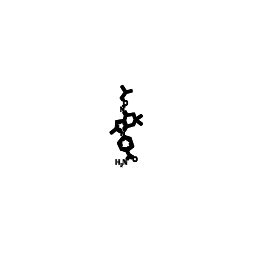 Cc1cc2c(n1-c1ccc(C(N)=O)cc1)CC(C)(C)CC2=NOCC(C)C